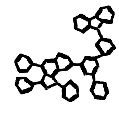 c1ccc(-c2nc(-c3cccc(-n4c5ccccc5c5ccccc54)c3)cc(-c3ccc4cc(-c5ccccc5)c5c(-c6ccccc6)nn(-c6ccccc6)c5c4c3)n2)cc1